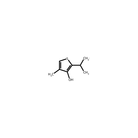 [CH2]C(C)c1scc(C)c1O